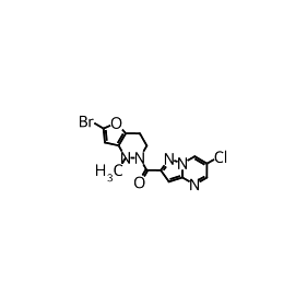 CN1c2cc(Br)oc2CCN1C(=O)c1cc2ncc(Cl)cn2n1